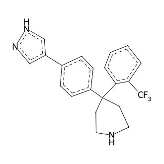 FC(F)(F)c1ccccc1C1(c2ccc(-c3cn[nH]c3)cc2)CCNCC1